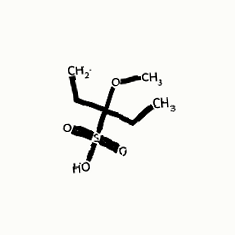 [CH2]CC(CC)(OC)S(=O)(=O)O